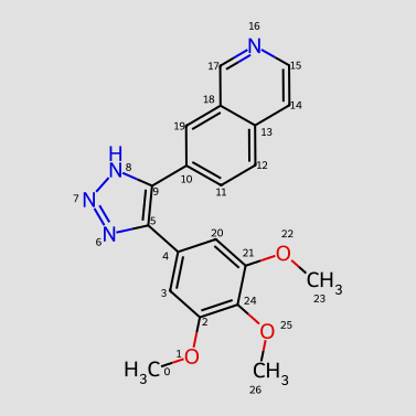 COc1cc(-c2nn[nH]c2-c2ccc3ccncc3c2)cc(OC)c1OC